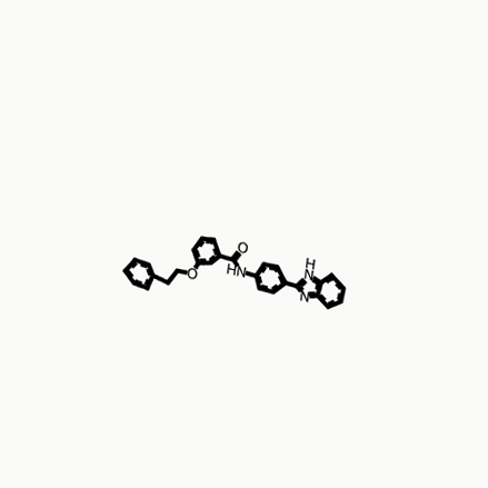 O=C(Nc1ccc(-c2nc3ccccc3[nH]2)cc1)c1cccc(OCCc2ccccc2)c1